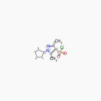 Cc1nn(C2CCCC2)c(C)c1S(=O)(=O)Cl